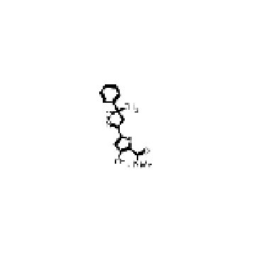 CNC(=O)c1sc(C2=NOC(C)(c3ccccc3)C2)cc1C